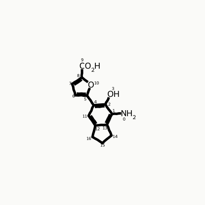 Nc1c(O)c(-c2ccc(C(=O)O)o2)cc2c1CCC2